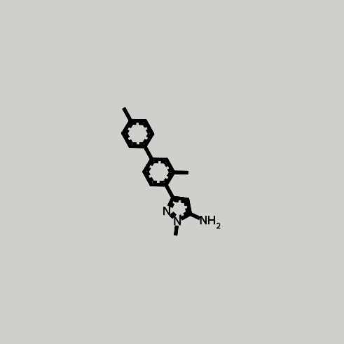 Cc1ccc(-c2ccc(-c3cc(N)n(C)n3)c(C)c2)cc1